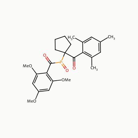 COc1cc(OC)c(C(=O)[P](=O)C2(C(=O)c3c(C)cc(C)cc3C)CCCC2)c(OC)c1